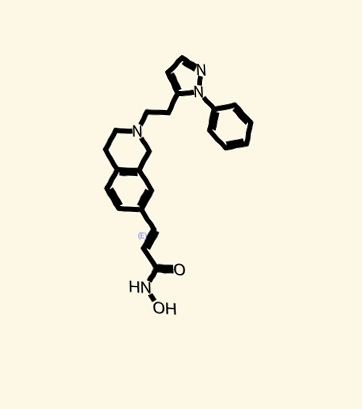 O=C(/C=C/c1ccc2c(c1)CN(CCc1ccnn1-c1ccccc1)CC2)NO